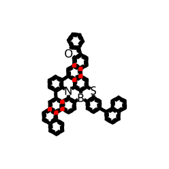 c1ccc(-c2cccc(-c3ccccc3)c2N2c3cc(-c4cccc5ccccc45)ccc3B3c4ccc(-c5cccc6ccccc56)cc4Sc4cc(-c5ccc6c(c5)oc5ccccc56)cc2c43)cc1